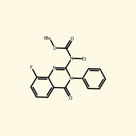 CCN(C(=O)OC(C)(C)C)c1nc2c(F)cccc2c(=O)n1-c1ccccc1